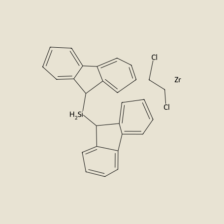 ClCCCl.[Zr].c1ccc2c(c1)-c1ccccc1C2[SiH2]C1c2ccccc2-c2ccccc21